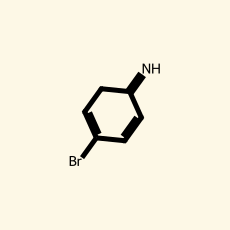 N=C1C=CC(Br)=CC1